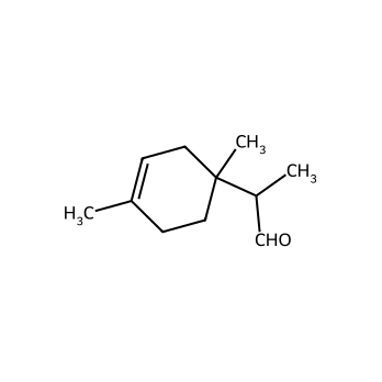 CC1=CCC(C)(C(C)C=O)CC1